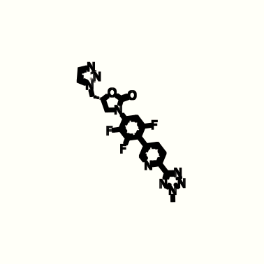 Cn1nnc(-c2ccc(-c3c(F)cc(N4C[C@H](Cn5ccnn5)OC4=O)c(F)c3F)cn2)n1